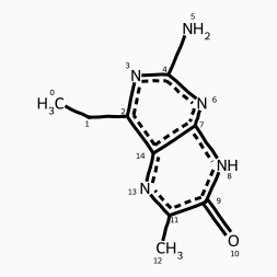 CCc1nc(N)nc2[nH]c(=O)c(C)nc12